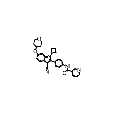 N#Cc1c(-c2ccc(NC(=O)c3cccnc3)cc2)n(C2CCC2)c2cc(OC3CCOCC3)ccc12